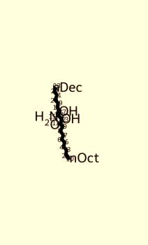 CCCCCCCC/C=C\CCCCCCCC(=O)C(O)C(N)C(O)CCCCCCCCCCCCCCC